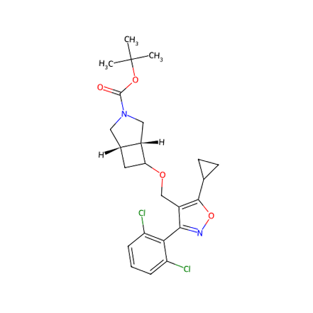 CC(C)(C)OC(=O)N1C[C@H]2CC(OCc3c(-c4c(Cl)cccc4Cl)noc3C3CC3)[C@H]2C1